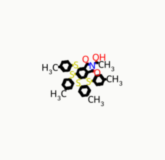 Cc1ccc(Sc2c(Sc3ccc(C)cc3)c(Sc3ccc(C)cc3)c3c(c2Sc2ccc(C)cc2)C(=O)N(C(C)O)C3=O)cc1